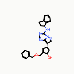 O[C@@H]1C[C@H](c2cnn3c(N[C@H]4CCc5ccccc54)ncnc23)C=C1COCc1ccccc1